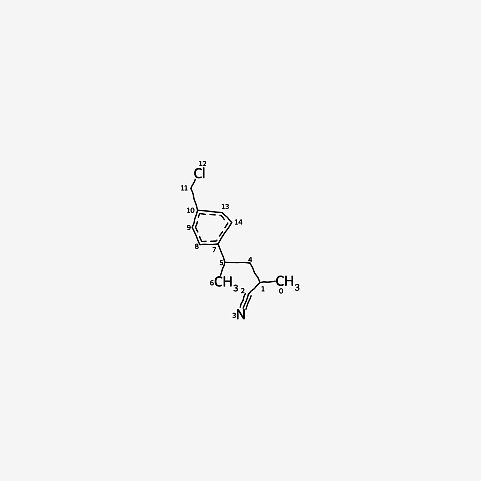 CC(C#N)CC(C)c1ccc(CCl)cc1